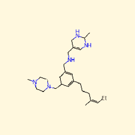 CC/C=C(/C)CCCC1=CC(CN2CCN(C)CC2)CC(CNCC2=CNC(C)NC2)=C1